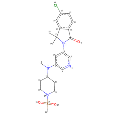 CN(c1cncc(N2C(=O)c3ccc(Cl)cc3C2(C)C)c1)C1CCN(S(C)(=O)=O)CC1